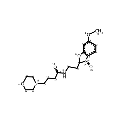 COc1ccc2c(c1)OC(CCNC(=O)CCCN1CCOCC1)[N+]2=O